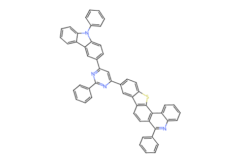 c1ccc(-c2nc(-c3ccc4sc5c(ccc6c(-c7ccccc7)nc7ccccc7c65)c4c3)cc(-c3ccc4c(c3)c3ccccc3n4-c3ccccc3)n2)cc1